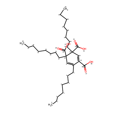 CCCCCCCCC1=CC(CCCCCCCC)(C(=O)O)C(CCCCCCCC)(C(=O)O)C=C1C(=O)O